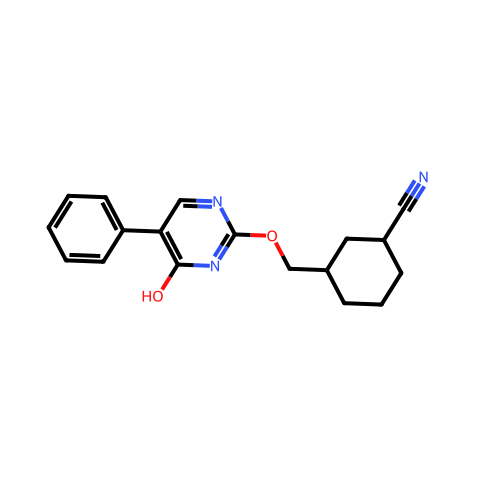 N#CC1CCCC(COc2ncc(-c3ccccc3)c(O)n2)C1